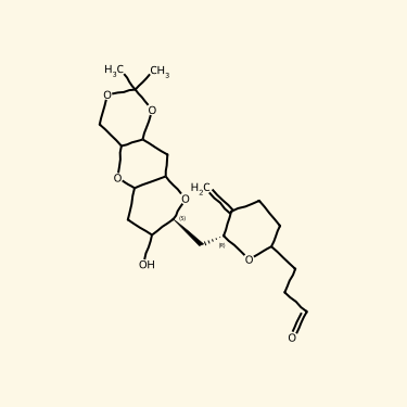 C=C1CCC(CCC=O)O[C@@H]1C[C@@H]1OC2CC3OC(C)(C)OCC3OC2CC1O